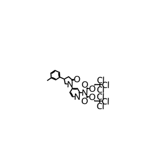 Cc1cccc(C2CC(=O)N(c3ccnc(N(C(=O)OCC(Cl)(Cl)Cl)C(=O)OCC(Cl)(Cl)Cl)c3)C2)c1